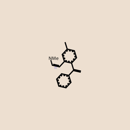 C=C(c1ccccc1)c1ccc(C)cc1/C=C\NC